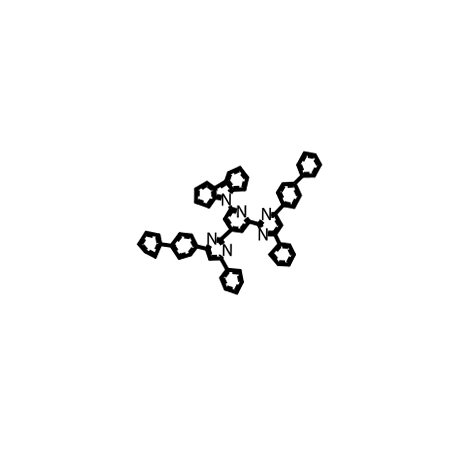 c1ccc(-c2ccc(-c3cc(-c4ccccc4)nc(-c4cc(-c5nc(-c6ccccc6)cc(-c6ccc(-c7ccccc7)cc6)n5)nc(-n5c6ccccc6c6ccccc65)c4)n3)cc2)cc1